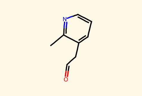 Cc1ncccc1CC=O